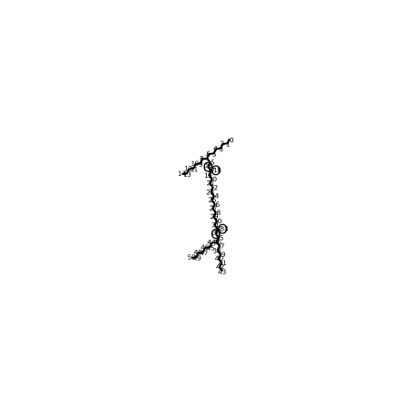 CCCCCCCC(CCCCCCC)COC(=O)CCCCCCCCCCCCCC(=O)OCC(CCCCCCC)CCCCCCC